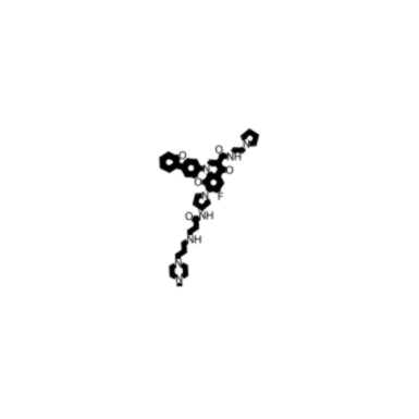 CN1CCN(CCCNCCC(=O)N[C@@H]2CCN(c3c(F)cc4c(=O)c(C(=O)NCCN5CCCC5)cn5c4c3Oc3cc4c(cc3-5)oc3ccccc34)C2)CC1